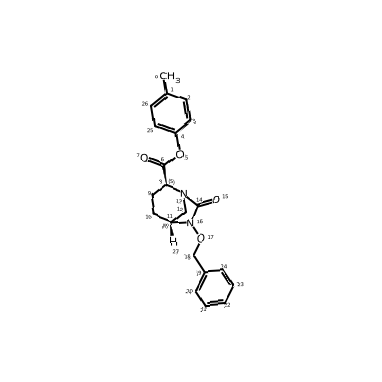 Cc1ccc(OC(=O)[C@@H]2CC[C@@H]3CN2C(=O)N3OCc2ccccc2)cc1